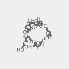 C=C1CC2CC[C@@]34C[C@H]5O[C@H]6[C@@H](O3)[C@H]3CC(CC(=O)C[C@H]7C(C[C@H]8O[C@@H](CC[C@@H]1O2)C[C@@H](C)C8=C)O[C@H](C[C@H](O)CO)[C@@H]7C)OC[C@@H]3O[C@@]6(C)C5O4